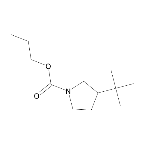 CCCOC(=O)N1CCC(C(C)(C)C)C1